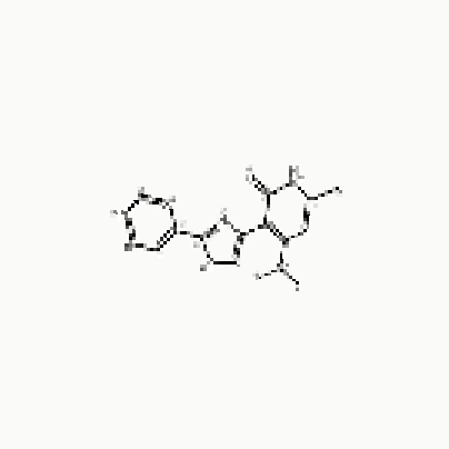 Cc1cc(N(C)C)c(-c2csc(-c3ccncc3)n2)c(=O)[nH]1